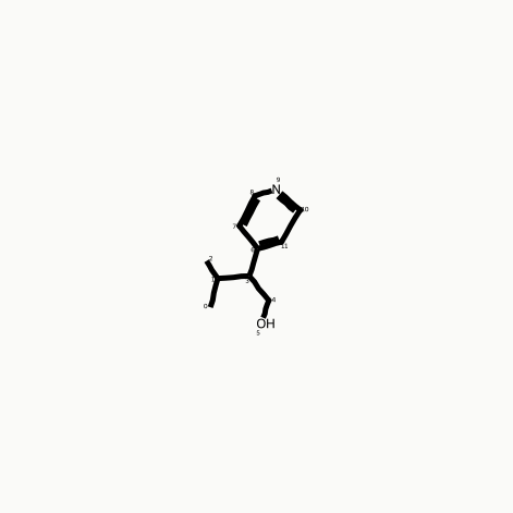 CC(C)C(CO)c1ccncc1